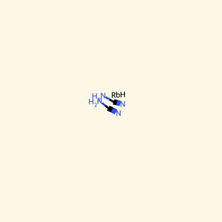 N#CN.N#CN.[RbH]